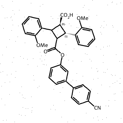 COc1ccccc1C1C(C(=O)Oc2cccc(-c3ccc(C#N)cc3)c2)[C@@H](c2ccccc2OC)[C@@H]1C(=O)O